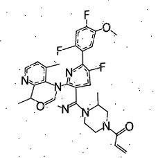 C=CC(=O)N1CCN(/C(=N/C)c2cc(F)c(-c3cc(OC)c(F)cc3F)nc2N(C=O)c2c(C)ccnc2C(C)C)C(C)C1